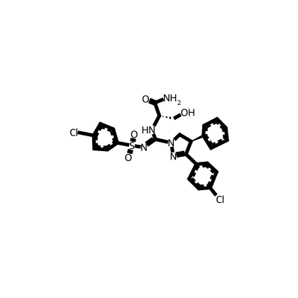 NC(=O)[C@H](CO)N/C(=N\S(=O)(=O)c1ccc(Cl)cc1)N1C[C@@H](c2ccccc2)C(c2ccc(Cl)cc2)=N1